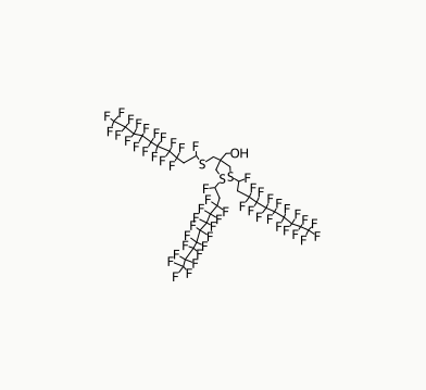 OCC(CSC(F)CC(F)(F)C(F)(F)C(F)(F)C(F)(F)C(F)(F)C(F)(F)C(F)(F)C(F)(F)F)(CSC(F)CC(F)(F)C(F)(F)C(F)(F)C(F)(F)C(F)(F)C(F)(F)C(F)(F)C(F)(F)F)CSC(F)CC(F)(F)C(F)(F)C(F)(F)C(F)(F)C(F)(F)C(F)(F)C(F)(F)C(F)(F)F